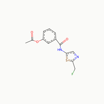 CC(=O)Oc1cccc(C(=O)Nc2cnc(CF)s2)c1